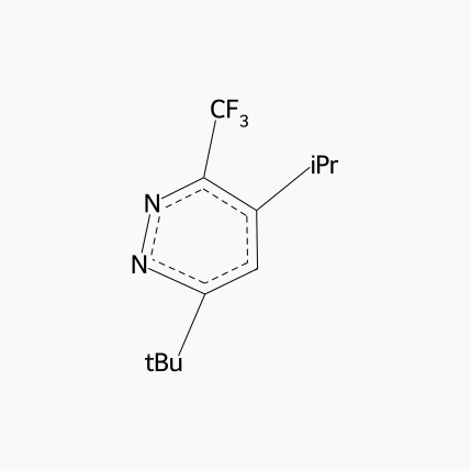 CC(C)c1cc(C(C)(C)C)nnc1C(F)(F)F